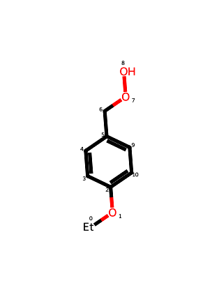 CCOc1ccc(COO)cc1